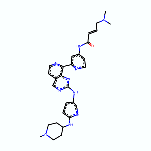 CN(C)CC=CC(=O)Nc1ccnc(-c2nccc3cnc(Nc4ccc(NC5CCN(C)CC5)nc4)nc23)c1